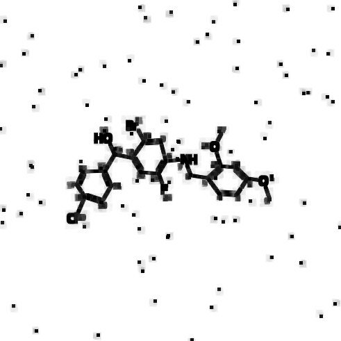 COc1ccc(CNc2cc(Br)c(C(O)c3ccc(Cl)cc3)cc2F)c(OC)c1